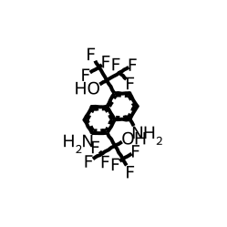 Nc1ccc2c(C(O)(C(F)(F)F)C(F)(F)F)ccc(N)c2c1C(O)(C(F)(F)F)C(F)(F)F